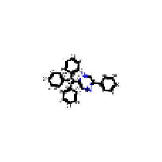 c1ccc(-c2cnc([Si](c3ccccc3)(c3ccccc3)c3ccccc3)cn2)cc1